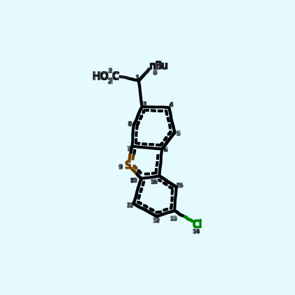 CCCCC(C(=O)O)c1ccc2c(c1)sc1ccc(Cl)cc12